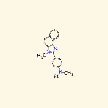 CCN(C)c1ccc(-c2nc3c4ccccc4ccc3n2C)cc1